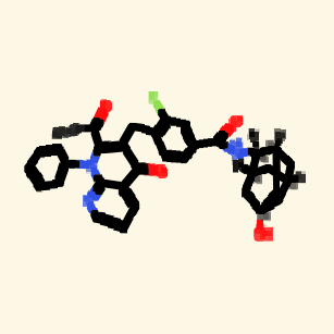 COC(=O)c1c(Cc2ccc(C(=O)N[C@@H]3[C@@H]4C[C@@H]5C[C@H]3C[C@@](O)(C5)C4)cc2F)c(=O)c2cccnc2n1-c1ccccc1